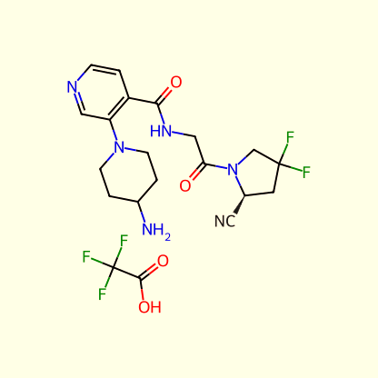 N#C[C@@H]1CC(F)(F)CN1C(=O)CNC(=O)c1ccncc1N1CCC(N)CC1.O=C(O)C(F)(F)F